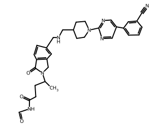 CC(CCC(=O)NC=O)N1Cc2cc(CNCC3CCN(c4ncc(-c5cccc(C#N)c5)cn4)CC3)ccc2C1=O